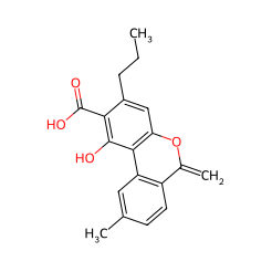 C=C1Oc2cc(CCC)c(C(=O)O)c(O)c2-c2cc(C)ccc21